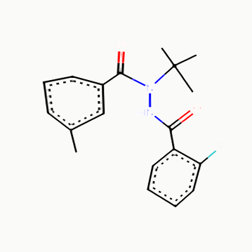 Cc1cccc(C(=O)N(NC(=O)c2ccccc2F)C(C)(C)C)c1